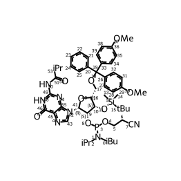 CCC(C)N(C(C)C)P(OCCC#N)O[C@H]1[C@@H](O[Si](C)(C)C(C)(C)C)[C@@H](COC(c2ccccc2)(c2ccc(OC)cc2)c2ccc(OC)cc2)O[C@H]1n1cnc2c(=O)[nH]c(NC(=O)C(C)C)nc21